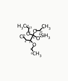 CCOC(CCl)C(O[SiH3])(OCC)OCC